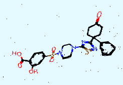 O=C1CCC(c2ccccc2)(c2nsc(N3CCN(S(=O)(=O)c4ccc(C(=O)O)c(O)c4)CC3)n2)CC1